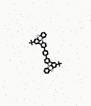 CC(C)(C)c1cc2c3c(c1)C1C=C(c4ccc(-c5ccc6c(c5)c5cc(C(C)(C)C)cc7c5n6-c5ccccc5O7)cc4)C=CC1N3c1ccccc1O2